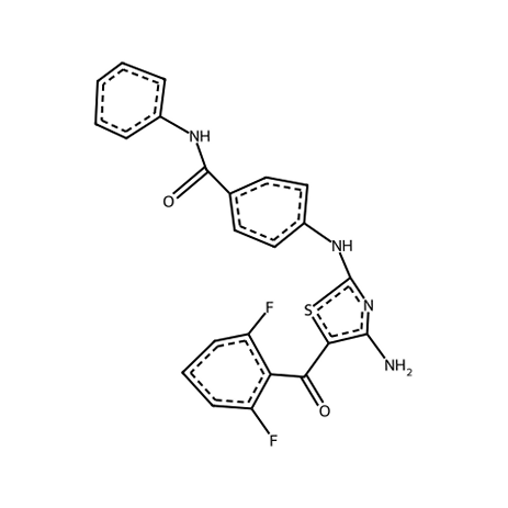 Nc1nc(Nc2ccc(C(=O)Nc3ccccc3)cc2)sc1C(=O)c1c(F)cccc1F